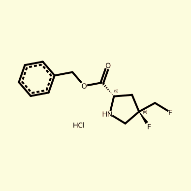 Cl.O=C(OCc1ccccc1)[C@@H]1C[C@](F)(CF)CN1